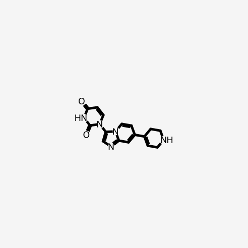 O=c1ccn(-c2cnc3cc(C4=CCNCC4)ccn23)c(=O)[nH]1